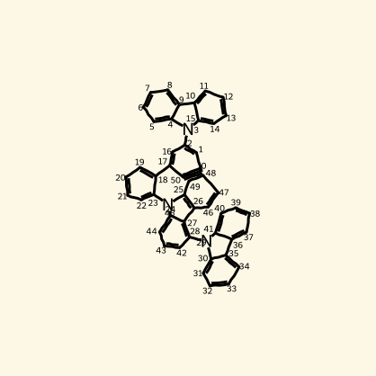 c1cc(-n2c3ccccc3c3ccccc32)cc(-c2ccccc2-n2c3c(c4c(-n5c6ccccc6c6ccccc65)cccc42)C=CCC3)c#1